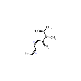 C=C(C)N(C)C(=C)/C=C\C=C/CC